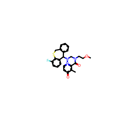 COCCN1CN(C2c3ccccc3CSc3c(F)cccc32)n2ccc(=O)c(C)c2C1=O